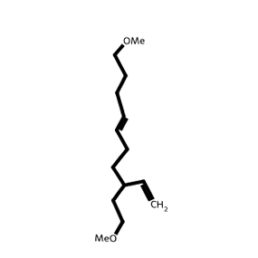 C=CC(CC/C=C/CCCOC)CCOC